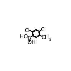 Cc1cc(B(O)O)c(Cl)cc1Cl